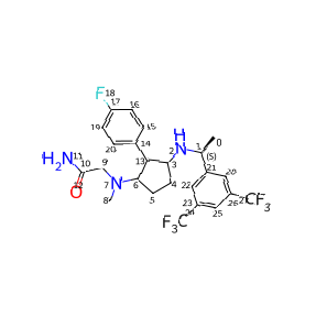 C[C@H](NC1CCC(N(C)CC(N)=O)C1c1ccc(F)cc1)c1cc(C(F)(F)F)cc(C(F)(F)F)c1